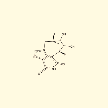 O=c1[nH]c(=O)n2c3c1nnn3C[C@H]1C[C@@H]2C(O)C1O